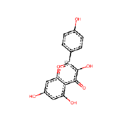 O=c1c(O)[13c](-c2ccc(O)cc2)oc2cc(O)cc(O)c12